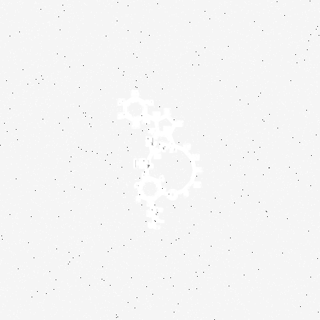 [C-]#[N+]c1ccc2cc1OCCCCCc1nc(nc3c1CCC3c1ccccc1)N2